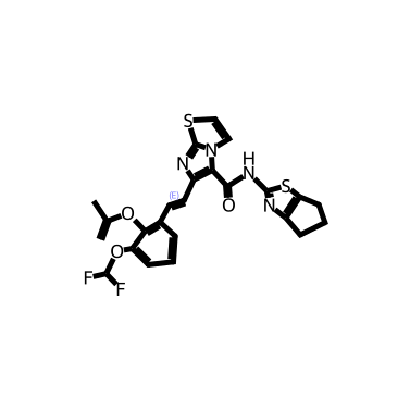 C=C(C)Oc1c(/C=C/c2nc3sccn3c2C(=O)Nc2nc3c(s2)CCC3)cccc1OC(F)F